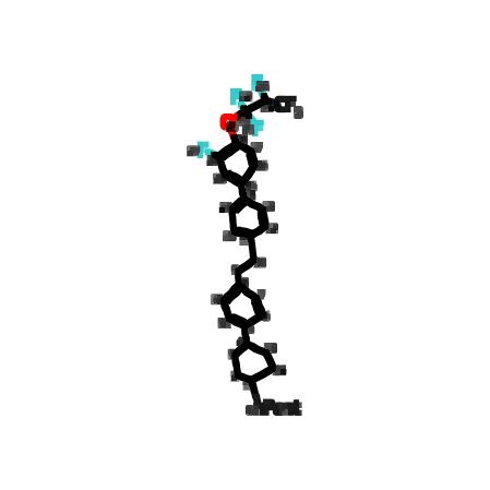 CCCCCC1CCC(c2ccc(CCc3ccc(-c4ccc(OC(F)(F)C(F)C(F)(F)F)c(F)c4)cc3)cc2)CC1